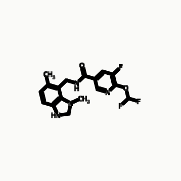 Cc1ccc2c(c1CNC(=O)c1cnc(OC(F)F)c(F)c1)N(C)CN2